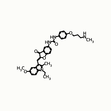 CCn1c(C)c(C=C2Oc3ccc(NC(=O)Nc4ccc(OCCCNC)cc4)cc3C2=O)c2cc(OC)ccc21